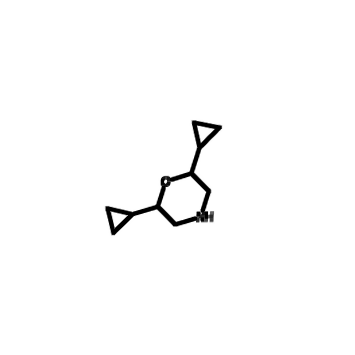 C1CC1C1CNCC(C2CC2)O1